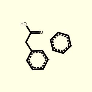 O=C(O)Cc1c[c]ccc1.[c]1ccccc1